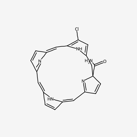 NC(=O)C12C=CC(=N1)C=c1ccc([nH]1)=CC1=NC(=Cc3[nH]c(cc3Cl)C2)C=C1